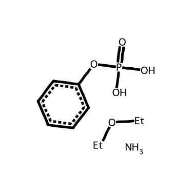 CCOCC.N.O=P(O)(O)Oc1ccccc1